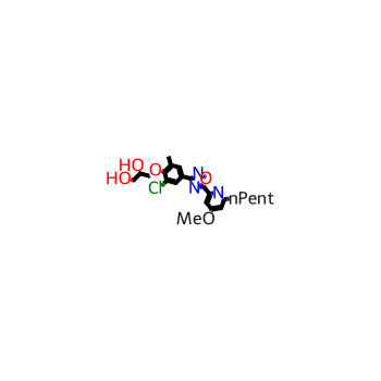 CCCCCc1cc(OC)cc(-c2nc(-c3cc(C)c(OC[C@@H](O)CO)c(Cl)c3)no2)n1